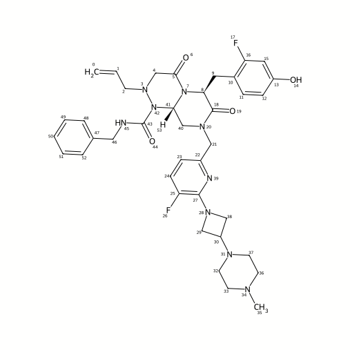 C=CCN1CC(=O)N2[C@@H](Cc3ccc(O)cc3F)C(=O)N(Cc3ccc(F)c(N4CC(N5CCN(C)CC5)C4)n3)C[C@@H]2N1C(=O)NCc1ccccc1